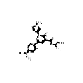 CC(CO)NC(=O)c1cc(-c2ccc(N(C)C)cc2)nn(-c2cnn(C)c2)c1=O